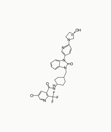 O=C(NC1CCC(Cn2c(=O)n(-c3ccc(N4CC[C@@H](O)C4)nc3)c3ccccc32)CC1)c1cc(Cl)cnc1C(F)(F)F